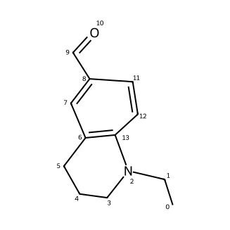 CCN1CCCc2cc(C=O)ccc21